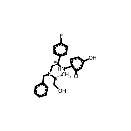 C[C@H](CO)N(Cc1ccccc1)C[C@H](Nc1ccc(O)cc1Cl)c1ccc(F)cc1